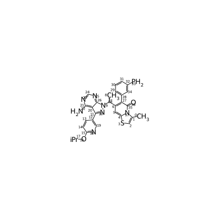 Cc1csc2cc([C@H](C)n3nc(-c4ccc(OC(C)C)nc4)c4c(N)ncnc43)c(-c3cccc(P)c3)c(=O)n12